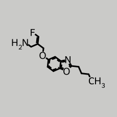 CCCCc1nc2cc(OC/C(=C/F)CN)ccc2o1